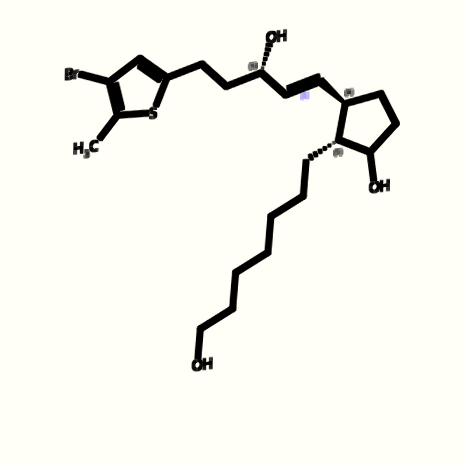 Cc1sc(CC[C@H](O)/C=C/[C@H]2CCC(O)[C@@H]2CCCCCCCO)cc1Br